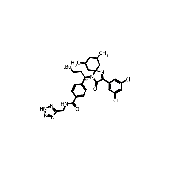 CC1CC(C)CC2(C1)N=C(c1cc(Cl)cc(Cl)c1)C(=O)N2[C@H](CCC(C)(C)C)c1ccc(C(=O)NCc2nn[nH]n2)cc1